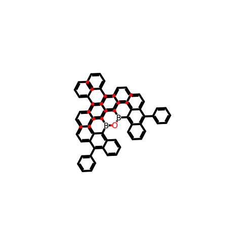 c1ccc(-c2c3ccccc3c(B(OB(c3c4ccccc4c(-c4ccccc4)c4ccccc34)c3c4ccccc4c(-c4ccccc4)c4ccccc34)c3c4ccccc4c(-c4ccccc4)c4ccccc34)c3ccccc23)cc1